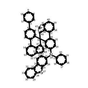 c1ccc(-c2ccc3c(c2)C2(c4cc(N(c5ccccc5)c5ccc6c(c5)sc5ccccc56)ccc4-c4cccc5cccc2c45)c2cccc4cccc-3c24)cc1